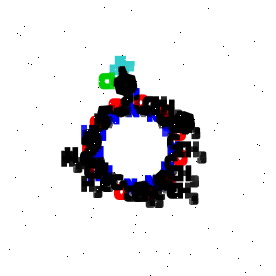 CC[C@H](C)[C@@H]1NC(=O)[C@H](C)N(C)C(=O)C[C@@H](C)NC(=O)[C@H](C(C)C)N(C)C(=O)C2(CCCC2)NC(=O)[C@@H]2CCCN2C(=O)[C@H](CCc2ccc(C(F)(F)F)c(Cl)c2)NC(=O)[C@@H](C)N(C)C(=O)[C@H](Cc2ccccc2)N(C)C(=O)CN(C)C(=O)CN(C)C1=O